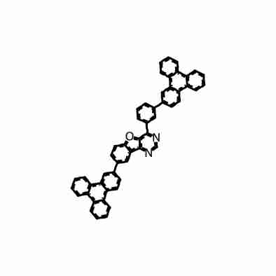 c1cc(-c2ccc3c4ccccc4c4ccccc4c3c2)cc(-c2ncnc3c2oc2ccc(-c4ccc5c6ccccc6c6ccccc6c5c4)cc23)c1